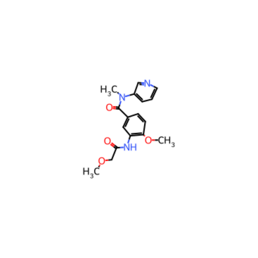 COCC(=O)Nc1cc(C(=O)N(C)c2cccnc2)ccc1OC